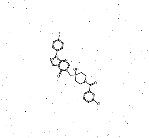 O=C(c1cccc(Cl)c1)N1CCC(O)(Cn2cnc3c(cnn3-c3ccc(F)cc3)c2=O)CC1